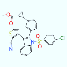 COC(=O)C1CC1c1cccc(-c2c(-c3ccsc3C#N)c3ccccc3n2S(=O)(=O)c2ccc(Cl)cc2)c1